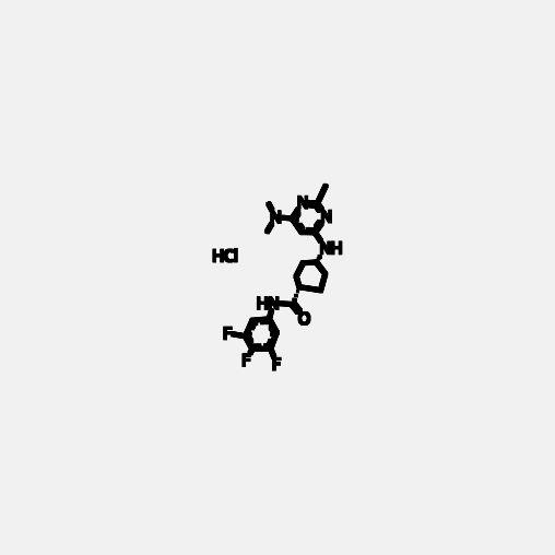 Cc1nc(N[C@H]2CC[C@@H](C(=O)Nc3cc(F)c(F)c(F)c3)CC2)cc(N(C)C)n1.Cl